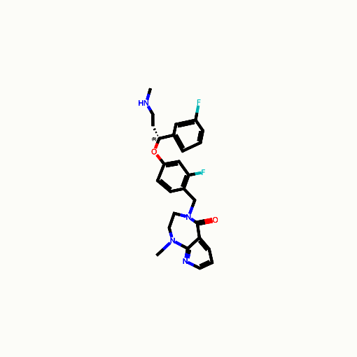 CNCC[C@@H](Oc1ccc(CN2CCN(C)c3ncccc3C2=O)c(F)c1)c1cccc(F)c1